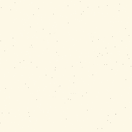 c1cc2c(cc1C(c1ccc3c(c1)OCO3)c1ccc3c(c1)OCO3)OCO2